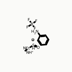 CC[SH](=O)=O.F[B-](F)(F)F.N#[NH+].Nc1ccccc1